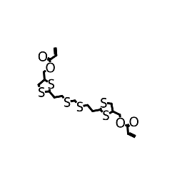 C=CC(=O)OCC1CSC(CCSCSCCC2SCC(COC(=O)C=C)S2)S1